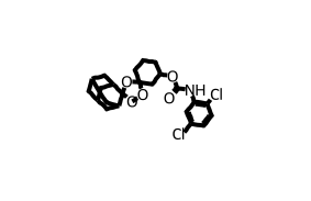 O=C(Nc1cc(Cl)ccc1Cl)OC1CCCC2(C1)OOC1(O2)C2CC3CC(C2)CC1C3